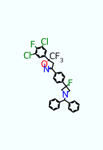 Fc1c(Cl)cc(C2(C(F)(F)F)CC(c3ccc(C4(F)CN(C(c5ccccc5)c5ccccc5)C4)cc3)=NO2)cc1Cl